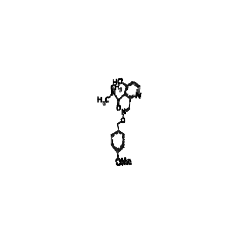 COc1ccc(CON=Cc2nccc(O)c2C(=O)N(C)C)cc1